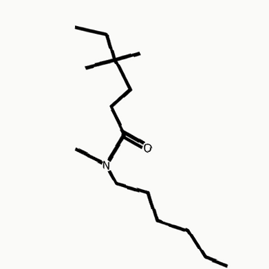 CCCCCCN(C)C(=O)CCC(C)(C)CC